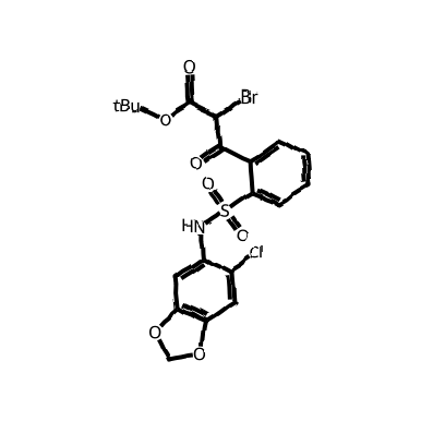 CC(C)(C)OC(=O)C(Br)C(=O)c1ccccc1S(=O)(=O)Nc1cc2c(cc1Cl)OCO2